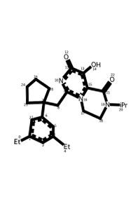 CCc1cc(CC)cc(C2(Cc3nc(=O)c(O)c4n3CCN(C(C)C)C4=O)CCCC2)c1